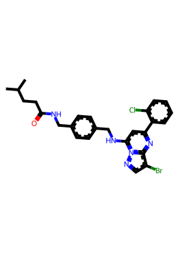 CC(C)CCC(=O)NCc1ccc(CNc2cc(-c3ccccc3Cl)nc3c(Br)cnn23)cc1